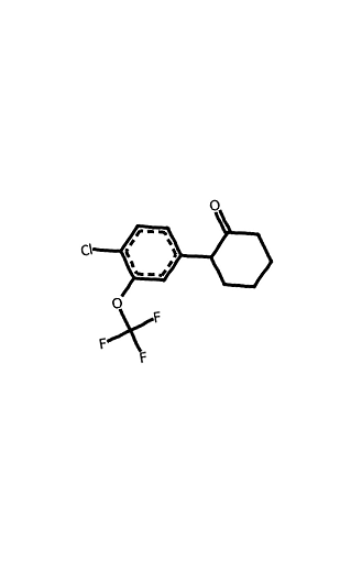 O=C1CCCCC1c1ccc(Cl)c(OC(F)(F)F)c1